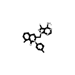 Cc1ccc(-n2c(Cn3nc(I)c4c(N)ncnc43)cc3cccc(C)c3c2=O)cc1